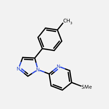 CSc1ccc(-n2cncc2-c2ccc(C)cc2)nc1